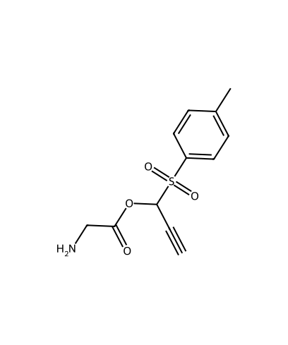 C#CC(OC(=O)CN)S(=O)(=O)c1ccc(C)cc1